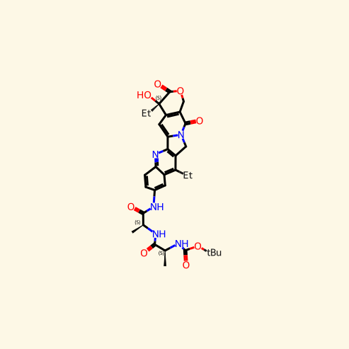 CCc1c2c(nc3ccc(NC(=O)[C@H](C)NC(=O)[C@H](C)NC(=O)OC(C)(C)C)cc13)-c1cc3c(c(=O)n1C2)COC(=O)[C@]3(O)CC